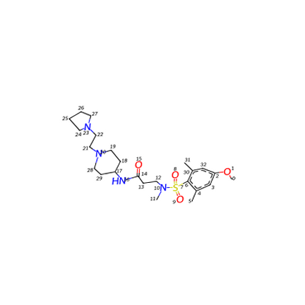 COc1cc(C)c(S(=O)(=O)N(C)CCC(=O)NC2CCN(CCN3CCCC3)CC2)c(C)c1